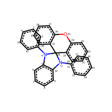 c1ccc(N2c3ccccc3N(c3ccccc3)C23c2ccccc2Oc2ccccc23)cc1